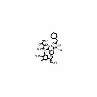 CCC[C@H](NC(=O)[C@@H]1C[C@H](C/C(=N\O)c2cc(C)c(OC)c(C)c2)CN1C(=O)[C@@H](NC(=O)CC1CCCCCC1)C(C)(C)C)C(=O)C(=O)NC